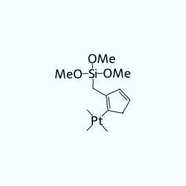 CO[Si](CC1=[C]([Pt]([CH3])([CH3])[CH3])CC=C1)(OC)OC